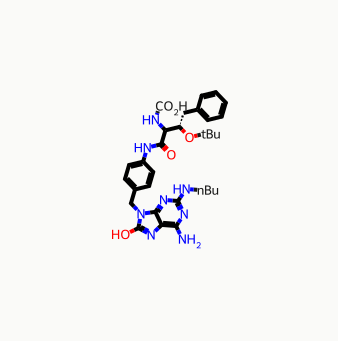 CCCCNc1nc(N)c2nc(O)n(Cc3ccc(NC(=O)C(NC(=O)O)[C@H](Cc4ccccc4)OC(C)(C)C)cc3)c2n1